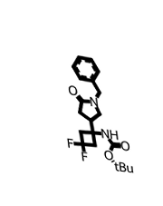 CC(C)(C)OC(=O)NC1(C2CC(=O)N(Cc3ccccc3)C2)CC(F)(F)C1